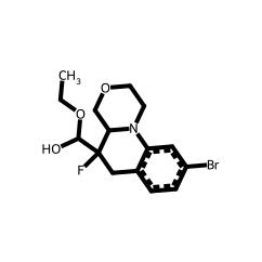 CCOC(O)C1(F)Cc2ccc(Br)cc2N2CCOCC21